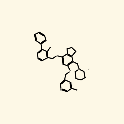 Cc1c(COc2cc(OCc3cncc(F)c3)c(CN3CCCC[C@H]3C)c3c2CCC3)cccc1-c1ccccc1